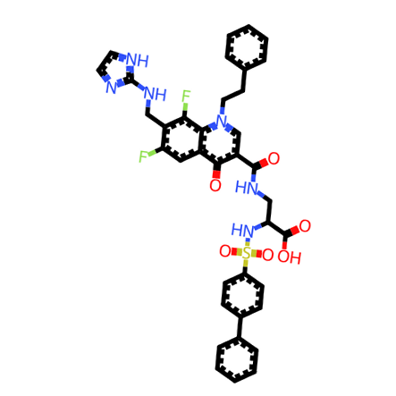 O=C(NCC(NS(=O)(=O)c1ccc(-c2ccccc2)cc1)C(=O)O)c1cn(CCc2ccccc2)c2c(F)c(CNc3ncc[nH]3)c(F)cc2c1=O